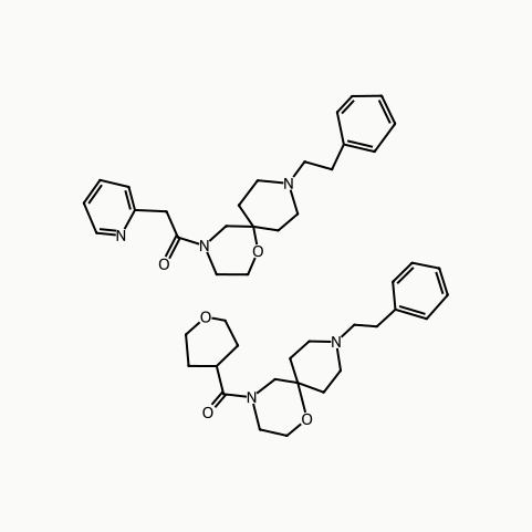 O=C(C1CCOCC1)N1CCOC2(CCN(CCc3ccccc3)CC2)C1.O=C(Cc1ccccn1)N1CCOC2(CCN(CCc3ccccc3)CC2)C1